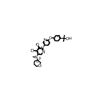 CN(c1cnn(-c2ccc(Oc3ccc(C(C)(C)O)cc3)nc2)c(=O)c1Cl)[C@]1(F)CCCOC1